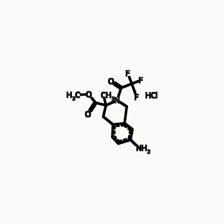 COC(=O)C1(C)Cc2ccc(N)cc2CN1C(=O)C(F)(F)F.Cl